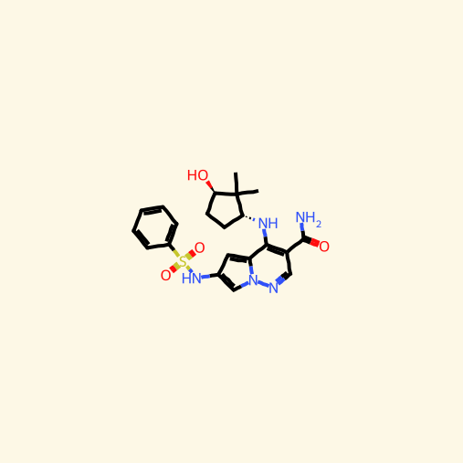 CC1(C)[C@H](O)CC[C@H]1Nc1c(C(N)=O)cnn2cc(NS(=O)(=O)c3ccccc3)cc12